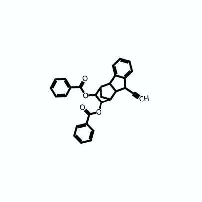 C#CC1c2ccccc2C2C3CC(C(OC(=O)c4ccccc4)C3OC(=O)c3ccccc3)C12